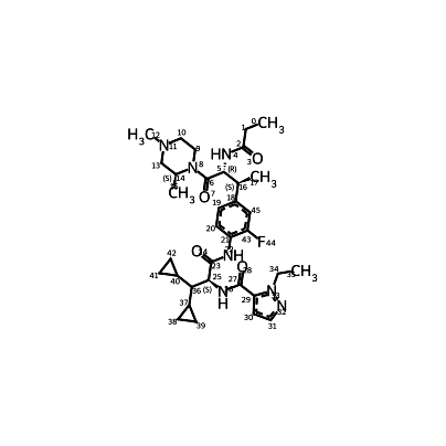 CCC(=O)N[C@@H](C(=O)N1CCN(C)C[C@@H]1C)[C@@H](C)c1ccc(NC(=O)[C@@H](NC(=O)c2ccnn2CC)C(C2CC2)C2CC2)c(F)c1